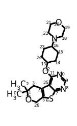 CC1(C)Cc2c(sc3ncnc(OC4CCC(N5CCOCC5)CC4)c23)CO1